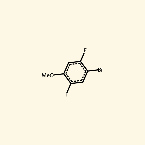 COc1cc(F)c(Br)cc1I